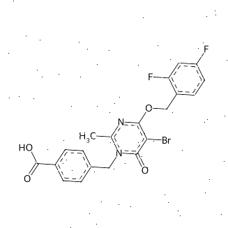 Cc1nc(OCc2ccc(F)cc2F)c(Br)c(=O)n1Cc1ccc(C(=O)O)cc1